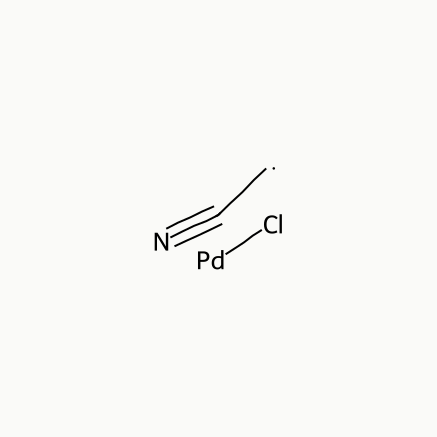 [CH2]C#N.[Cl][Pd]